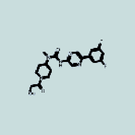 CN(C(=O)Nc1cnc(-c2cc(F)cc(F)c2)cn1)C1CCN(C(=O)CC(C)(C)C)CC1